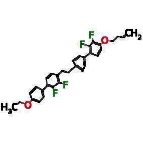 C=CCCOc1ccc(-c2ccc(CCc3ccc(-c4ccc(OCC)cc4)c(F)c3F)cc2)c(F)c1F